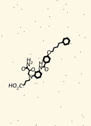 NC(=O)C1CN(CCCC(=O)O)c2cccc(NC(=O)c3ccc(OCCCCc4ccccc4)cc3)c2O1